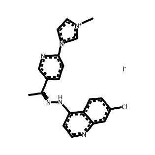 CC(=NNc1ccnc2cc(Cl)ccc12)c1ccc(-n2cc[n+](C)c2)nc1.[I-]